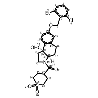 CCc1cccc(Cl)c1COc1ccc2c(c1)CC[C@H]1N(C(=O)C3CCS(=O)(=O)CC3)CC[C@@]21C=O